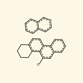 Clc1cc2ccccc2c2ccc3c(c12)CCCC3.c1ccc2cnccc2c1